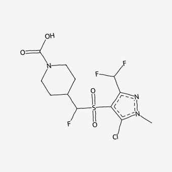 Cn1nc(C(F)F)c(S(=O)(=O)C(F)C2CCN(C(=O)O)CC2)c1Cl